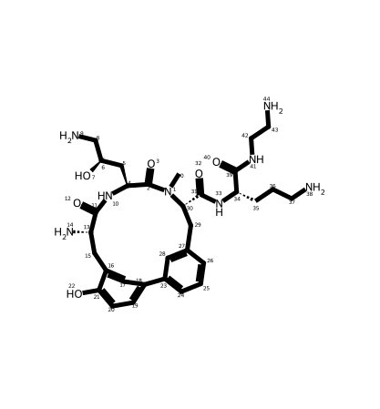 CN1C(=O)[C@H](C[C@@H](O)CN)NC(=O)[C@@H](N)Cc2cc(ccc2O)-c2cccc(c2)C[C@H]1C(=O)N[C@@H](CCCN)C(=O)NCCN